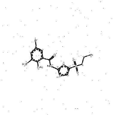 Bc1cc(Br)cc(C(=O)Nc2nc(S(=O)(=O)CCC(C)C)cs2)c1OC(C)=O